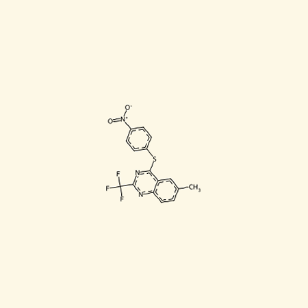 Cc1ccc2nc(C(F)(F)F)nc(Sc3ccc([N+](=O)[O-])cc3)c2c1